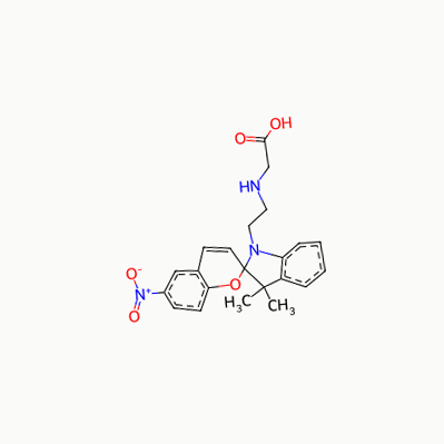 CC1(C)c2ccccc2N(CCNCC(=O)O)C12C=Cc1cc([N+](=O)[O-])ccc1O2